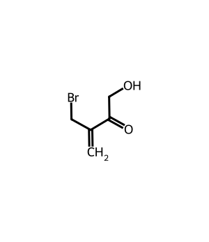 C=C(CBr)C(=O)CO